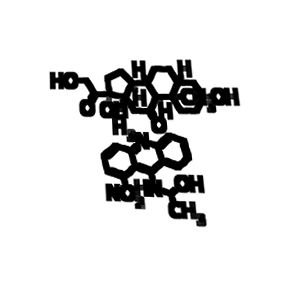 CC(O)Nc1c2ccccc2nc2cccc([N+](=O)[O-])c12.C[C@]12CC[C@@H](O)C[C@H]1CC[C@@H]1[C@@H]2C(=O)C[C@@]2(C)[C@H]1CC[C@]2(O)C(=O)CO